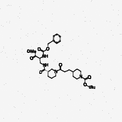 COC(=O)C(CNC(=O)[C@H]1CCCN(C(=O)CCC2CCN(C(=O)OC(C)(C)C)CC2)C1)NC(=O)OCc1ccccc1